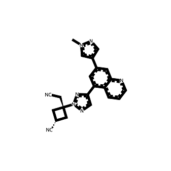 Cn1cc(-c2cc(-c3cnn([C@]4(CC#N)C[C@H](C#N)C4)n3)c3cccnc3c2)cn1